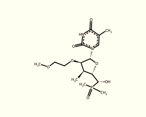 COCCO[C@@H]1[C@H](C)[C@@H]([C@H](O)P(C)(C)=O)O[C@H]1n1cc(C)c(=O)[nH]c1=O